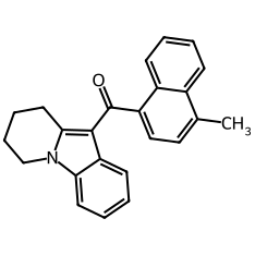 Cc1ccc(C(=O)c2c3n(c4ccccc24)CCCC3)c2ccccc12